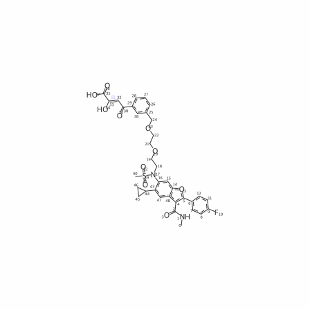 CNC(=O)c1c(-c2ccc(F)cc2)oc2cc(N(CCOCCOCc3cccc(C(=O)/C=C(\O)C(=O)O)c3)S(C)(=O)=O)c(C3CC3)cc12